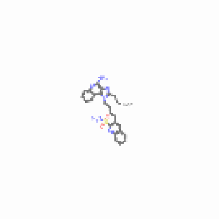 COCCc1nc2c(N)nc3ccccc3c2n1CCCCc1cc2ccccc2nc1S(N)(=O)=O